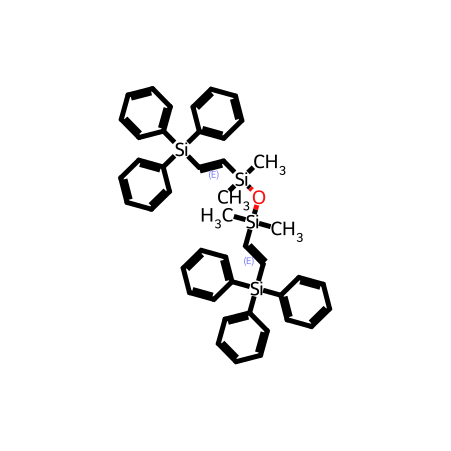 C[Si](C)(/C=C/[Si](c1ccccc1)(c1ccccc1)c1ccccc1)O[Si](C)(C)/C=C/[Si](c1ccccc1)(c1ccccc1)c1ccccc1